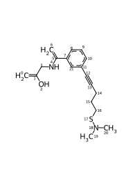 C=C(O)CNC(=C)c1cccc(C#CCCCSN(C)C)c1